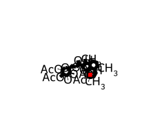 CC(=O)OC1[C@H](OC(C)=O)OC(COC(=O)C2=C(C)[C@@H]3CC[C@@H](C)[C@@H]4CC[C@]5(C)OO[C@@]34C(O2)O5)[C@@H](OC(C)=O)[C@@H]1OC(C)=O